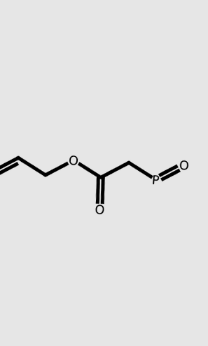 C=CCOC(=O)CP=O